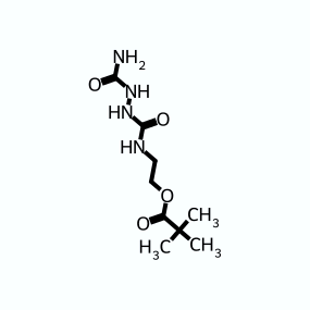 CC(C)(C)C(=O)OCCNC(=O)NNC(N)=O